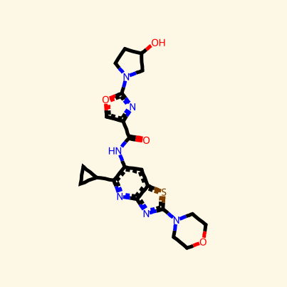 O=C(Nc1cc2sc(N3CCOCC3)nc2nc1C1CC1)c1coc(N2CCC(O)C2)n1